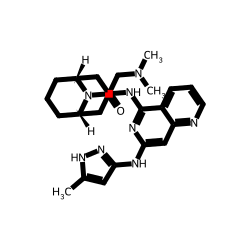 Cc1cc(Nc2cc3ncccc3c(NC3C[C@H]4CCC[C@@H](C3)N4C(=O)CN(C)C)n2)n[nH]1